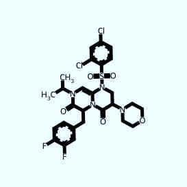 CC(C)N1C=C2N(C(=O)C(N3CCOCC3)CN2S(=O)(=O)c2ccc(Cl)cc2Cl)C(Cc2ccc(F)c(F)c2)C1=O